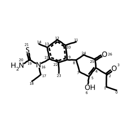 CCC(=O)C1=C(O)CC(c2c(C)cc(C)c(N(CC)C(N)=S)c2C)CC1=O